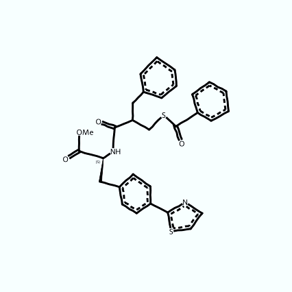 COC(=O)[C@H](Cc1ccc(-c2nccs2)cc1)NC(=O)C(CSC(=O)c1ccccc1)Cc1ccccc1